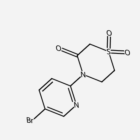 O=C1CS(=O)(=O)CCN1c1ccc(Br)cn1